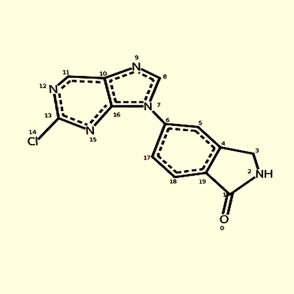 O=C1NCc2cc(-n3cnc4cnc(Cl)nc43)ccc21